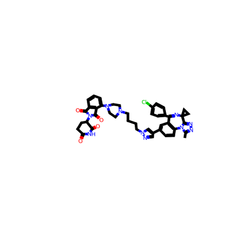 Cc1nnc2n1-c1ccc(-c3cnn(CCCCN4CCN(c5cccc6c5C(=O)N(C5CCC(=O)NC5=O)C6=O)CC4)c3)cc1C(c1ccc(Cl)cc1)=NC21CC1